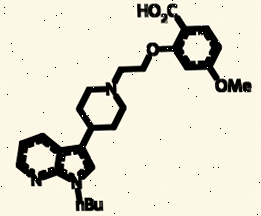 CCCCn1cc(C2CCN(CCOc3cc(OC)ccc3C(=O)O)CC2)c2cccnc21